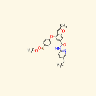 CCc1ccc(NC(=O)c2cc(Oc3ccc(SOOC)cc3)c3cc(C)oc3c2)nc1